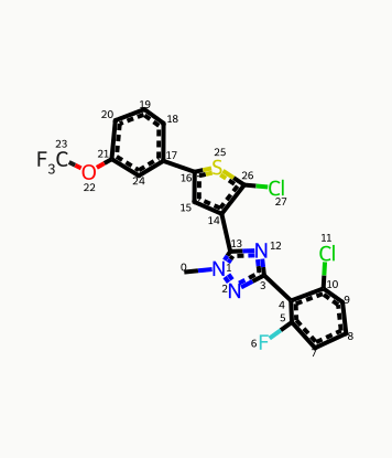 Cn1nc(-c2c(F)cccc2Cl)nc1-c1cc(-c2cccc(OC(F)(F)F)c2)sc1Cl